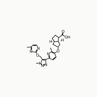 Cc1ccnc(OCc2c(-c3ccc(O[C@H]4C[C@H]5CCC(C(=O)O)[C@H]5C4)c(C)n3)nnn2C)n1